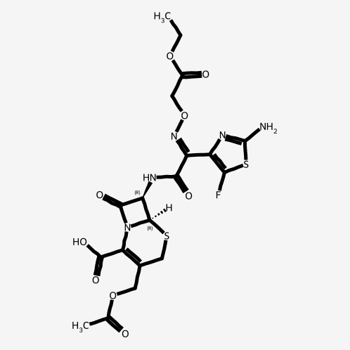 CCOC(=O)CON=C(C(=O)N[C@@H]1C(=O)N2C(C(=O)O)=C(COC(C)=O)CS[C@H]12)c1nc(N)sc1F